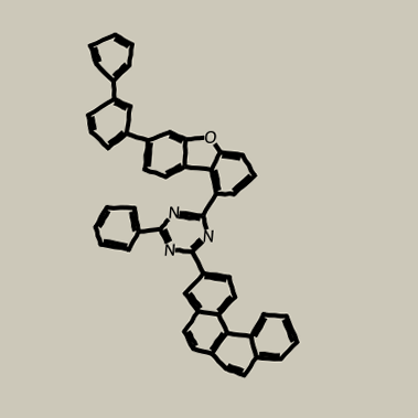 c1ccc(-c2cccc(-c3ccc4c(c3)oc3cccc(-c5nc(-c6ccccc6)nc(-c6ccc7c(ccc8ccc9ccccc9c87)c6)n5)c34)c2)cc1